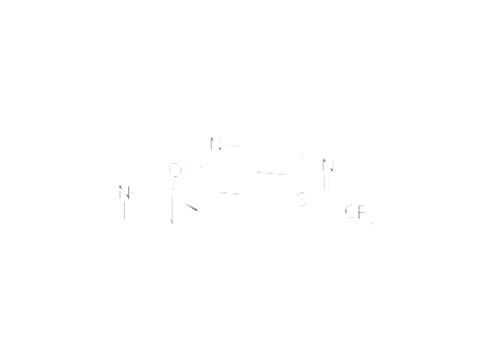 FC(F)(F)c1ncc(-c2cnc3c(c2)C[C@@]2(CN4CCC2CC4)O3)s1